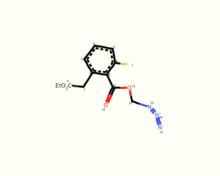 CCOC(=O)Cc1cccc(F)c1C(=O)OCN=[N+]=[N-]